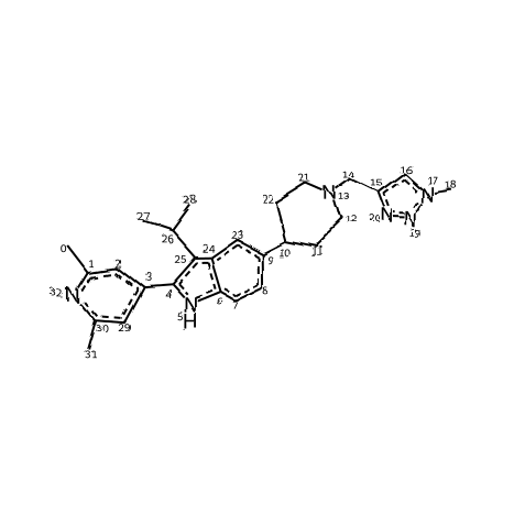 Cc1cc(-c2[nH]c3ccc(C4CCN(Cc5cn(C)nn5)CC4)cc3c2C(C)C)cc(C)n1